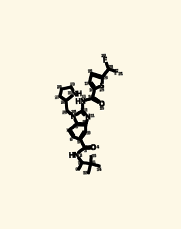 CC(NC(=O)c1ccc2c(c1)nc(NC(=O)c1ccc(C(F)F)s1)n2CC1CCCN1)C(C)(C)C